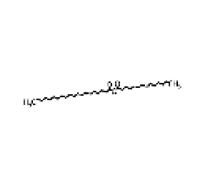 CCCCCCCCCCCCCCCCCCCC(=O)OC(=O)CCCCCCCCCCCCC